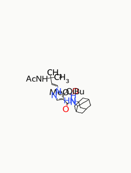 COC(=O)NC12CC3CC(C1)C(NC(=O)c1cnn(/C=C/C(C)(C)NC(C)=O)c1OCC(C)C)C(C3)C2